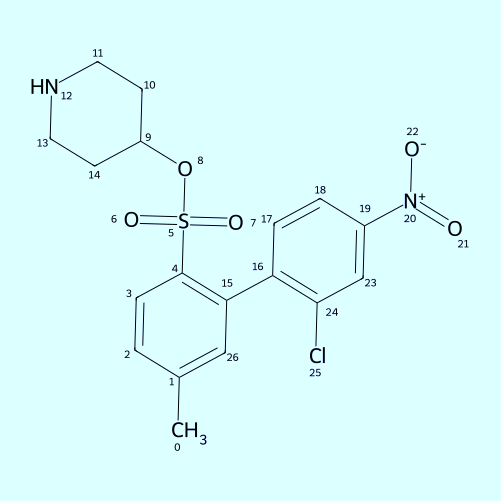 Cc1ccc(S(=O)(=O)OC2CCNCC2)c(-c2ccc([N+](=O)[O-])cc2Cl)c1